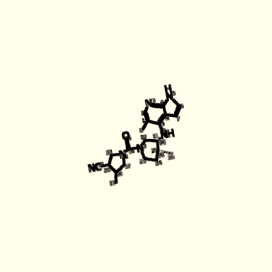 Cc1cnc2[nH]ccc2c1N[C@H]1CN(C(=O)N2CC(C)C(C#N)C2)CC[C@H]1C